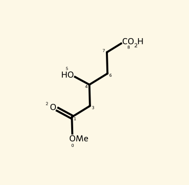 COC(=O)CC(O)CCC(=O)O